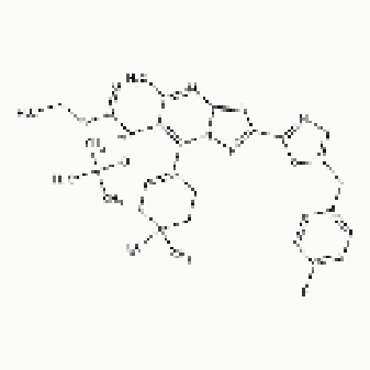 CCOC(=O)[C@@H](OC(C)(C)C)c1c(C)nc2cc(-c3ncc(Cc4ccc(F)cc4)s3)nn2c1C1=CCC(C)(C)CC1